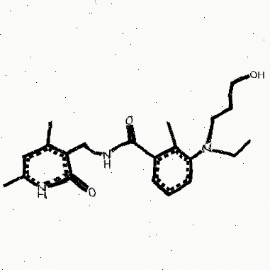 CCN(CCCO)c1cccc(C(=O)NCc2c(C)cc(C)[nH]c2=O)c1C